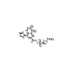 CN(CCS(=O)(=O)NCCCO)c1cc(-n2ccnc2)c2ccc(Cl)c(Cl)c2n1